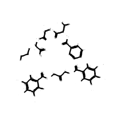 CCCC[C@H](NC(=O)[C@H](C)NC(=O)[C@@H](NC(=O)c1ccccc1)C(C)C)C(=O)O.O=C(COC(=O)c1c(F)c(F)c(F)c(F)c1F)COC(=O)c1c(F)c(F)c(F)c(F)c1F